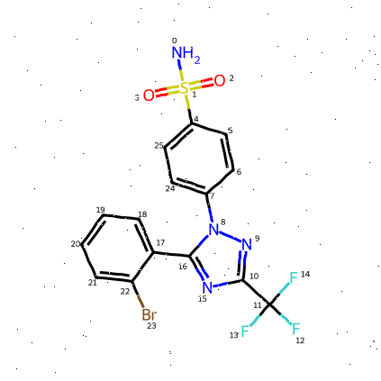 NS(=O)(=O)c1ccc(-n2nc(C(F)(F)F)nc2-c2ccccc2Br)cc1